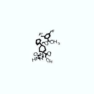 C[C@@H](OC[C@]1(c2ccccc2)CC[C@@](C(=O)CO)(n2cn[nH]c2=O)CC1)c1cc(CF)cc(CF)c1